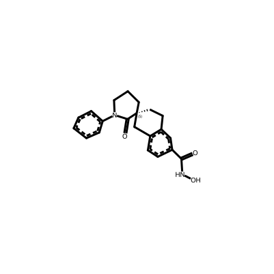 O=C(NO)c1ccc2c(c1)CC[C@]1(CCCN(c3ccccc3)C1=O)C2